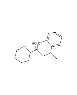 CC(CNC1CCCCC1)c1ccccc1C(=O)O